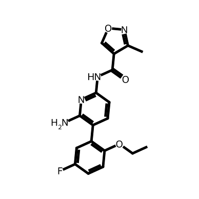 CCOc1ccc(F)cc1-c1ccc(NC(=O)c2conc2C)nc1N